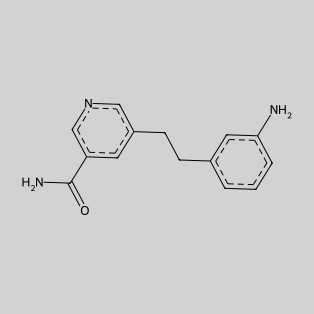 NC(=O)c1cncc(CCc2cccc(N)c2)c1